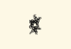 CCCCOc1cc(C(=O)OCC(CN)OC(=O)c2cc(OCCCC)c(OCCCC)c(OCCCC)c2)cc(OCCCC)c1OCCCC